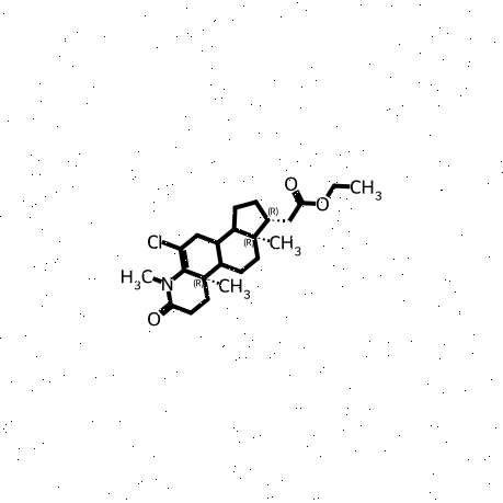 CCOC(=O)C[C@H]1CCC2C3CC(Cl)=C4N(C)C(=O)CC[C@]4(C)C3CC[C@@]21C